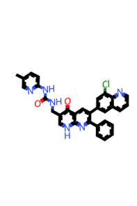 Cc1ccc(NC(=O)NCc2c[nH]c3nc(-c4ccccc4)c(-c4cc(Cl)c5ncccc5c4)cc3c2=O)nc1